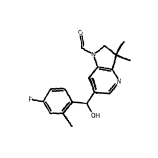 Cc1cc(F)ccc1C(O)c1cnc2c(c1)N(C=O)CC2(C)C